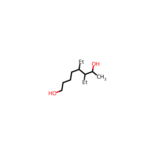 CCC(CCCCO)C(CC)C(C)O